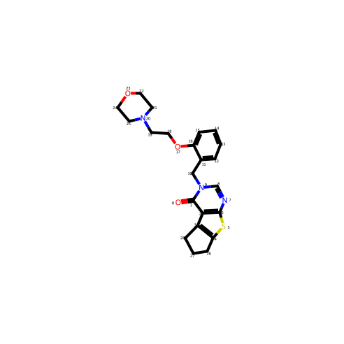 O=c1c2c3c(sc2ncn1Cc1ccccc1OCCN1CCOCC1)CCC3